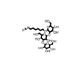 [N-]=[N+]=NCCCCCCO[C@H]1OC(CO)[C@@H](O)[C@H](O)C1O[C@H]1OC(CO)[C@@H](O)[C@H](O[C@H]2OC(CO)[C@@H](O)[C@H](O)C2O)C1O